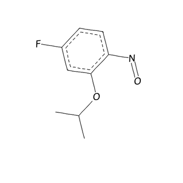 CC(C)Oc1cc(F)ccc1N=O